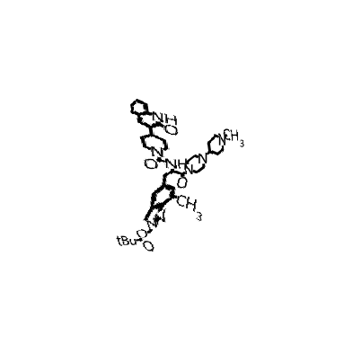 Cc1cc(CC(NC(=O)N2CCC(c3cc4ccccc4[nH]c3=O)CC2)C(=O)N2CCN(C3CCN(C)CC3)CC2)cc2cn(COC(=O)C(C)(C)C)nc12